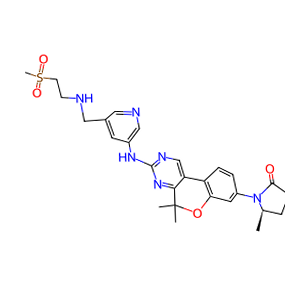 C[C@@H]1CCC(=O)N1c1ccc2c(c1)OC(C)(C)c1nc(Nc3cncc(CNCCS(C)(=O)=O)c3)ncc1-2